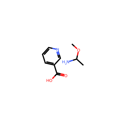 COC(C)N.O=C(O)c1cccnc1